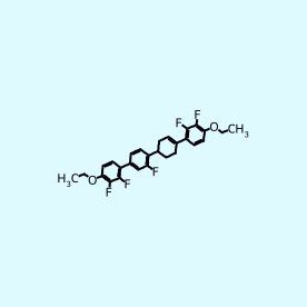 CCOc1ccc(C2=CCC(c3ccc(-c4ccc(OCC)c(F)c4F)cc3F)CC2)c(F)c1F